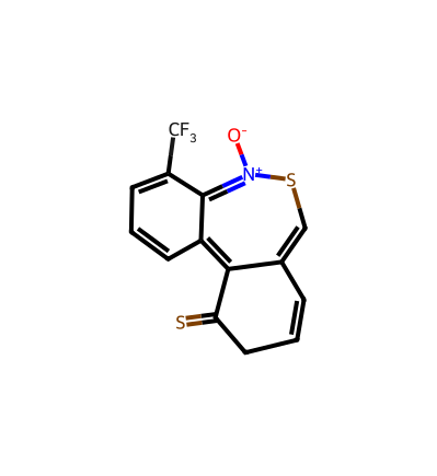 [O-][N+]1=c2c(C(F)(F)F)cccc2=C2C(=S)CC=CC2=CS1